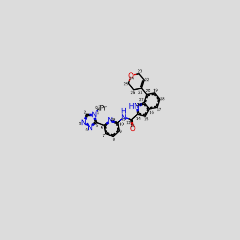 CC(C)n1cnnc1-c1cccc(NC(=O)c2cc3cccc(C4=CCOCC4)c3[nH]2)n1